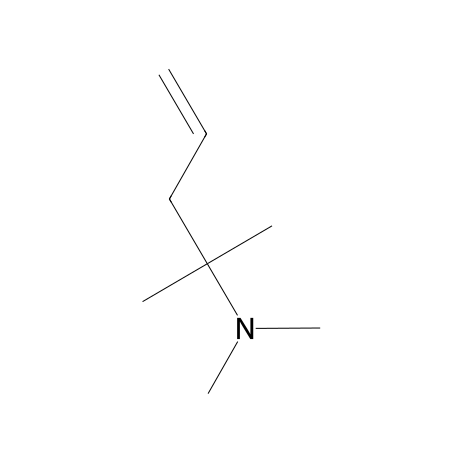 C=CCC(C)(C)N(C)C